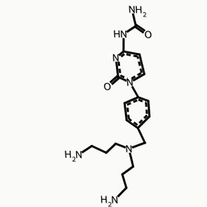 NCCCN(CCCN)Cc1ccc(-n2ccc(NC(N)=O)nc2=O)cc1